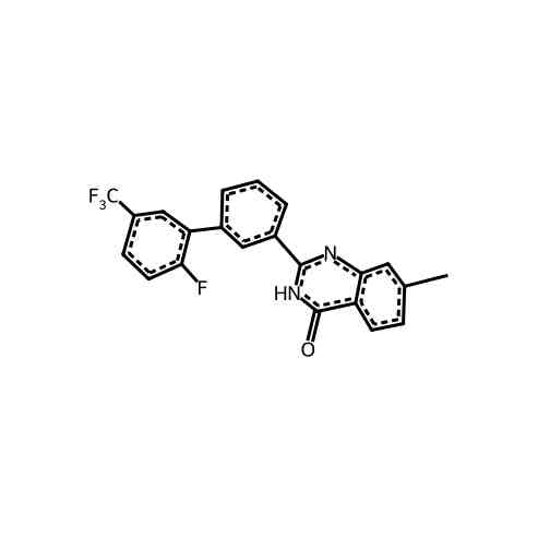 Cc1ccc2c(=O)[nH]c(-c3cccc(-c4cc(C(F)(F)F)ccc4F)c3)nc2c1